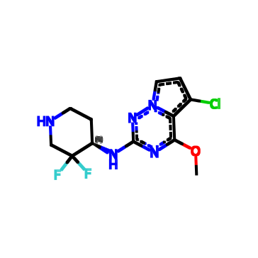 COc1nc(N[C@@H]2CCNCC2(F)F)nn2ccc(Cl)c12